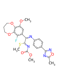 COC(=O)N=C(SC)C(=Nc1ccc(-c2noc(C)n2)cc1)c1cc(OC)c2c(c1F)OCCCO2